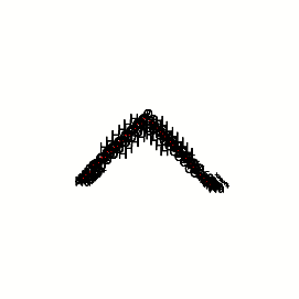 O=S(O)O.O=S(O)O.O=S(O)O.O=S(O)O.O=S(O)O.O=S(O)O.O=S(O)O.O=S(O)O.O=S(O)O.O=S(O)O.O=S(O)O.O=S(O)O.O=S([O-])O.O=S([O-])[O-].O=S([O-])[O-].O=S([O-])[O-].O=S([O-])[O-].O=S([O-])[O-].O=S([O-])[O-].O=S([O-])[O-].[Na+].[Na+].[Na+].[Na+].[Na+].[Na+].[Na+].[Na+].[Na+].[Na+].[Na+].[Na+].[Na+].[Na+].[Na+]